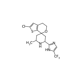 CC1CC2(CC(c3ncc(C(F)(F)F)[nH]3)N1)OCCc1cc(Cl)sc12